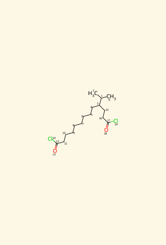 CC(C)C(CCCCCCCCC(=O)Cl)CCC(=O)Cl